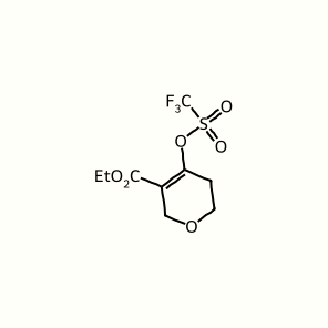 CCOC(=O)C1=C(OS(=O)(=O)C(F)(F)F)CCOC1